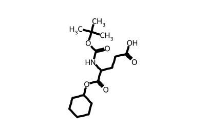 CC(C)(C)OC(=O)NC(CCC(=O)O)C(=O)OC1CCCCC1